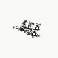 CCC(CC(=O)O)(OOC(C)(C)C)OOC(C)(C)C.CCC(CC(=O)O)(OOC(C)(C)C)OOC(C)(C)C.Oc1cccc(Oc2cccc(O)c2)c1